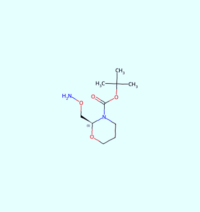 CC(C)(C)OC(=O)N1CCCO[C@H]1CON